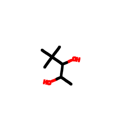 CC(O)C(O)C(C)(C)C